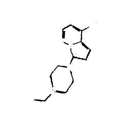 CCN1CCN(C2CC=C3C(O)=CC=NN32)CC1